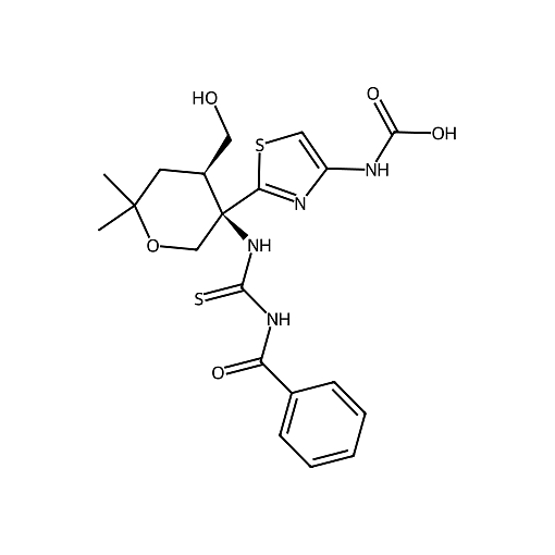 CC1(C)C[C@@H](CO)[C@](NC(=S)NC(=O)c2ccccc2)(c2nc(NC(=O)O)cs2)CO1